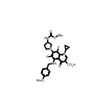 COc1ccc(CNc2c(F)c(N3CCC(NC(=O)OC(C)(C)C)C3)c(F)c3c2c(=O)c(C(=O)O)cn3C2CC2)cc1